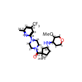 COC1COCCC1N[C@@H]1CC[C@@](C(=O)N2CCN(c3cc(C(F)(F)F)cc(C)n3)CC2)(C(C)C)C1